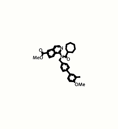 COC(=O)c1ccc2c(N(Cc3ccc(-c4ccc(OC)c(C)c4)cc3)C(=O)C3CCCCCC3)nccc2c1